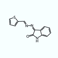 O=C1Nc2ccccc2C1=NN=Cc1cccs1